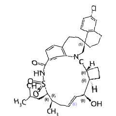 CC(C)C[C@@H]1[C@H](C)C/C=C/[C@H](O)[C@@H]2CC[C@H]2CN2C[C@@]3(CCCc4cc(Cl)ccc43)CCc3ccc(cc32)C(=O)NS1(=O)=O